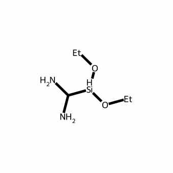 CCO[SiH](OCC)C(N)N